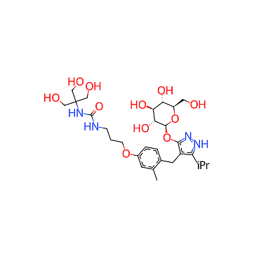 Cc1cc(OCCCNC(=O)NC(CO)(CO)CO)ccc1Cc1c(O[C@@H]2O[C@H](CO)[C@@H](O)[C@H](O)[C@H]2O)n[nH]c1C(C)C